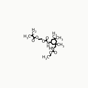 C=C(C)C(=O)OCCOC(=O)NC1CC(C)(C)CC(C)(CNC(=O)OCC)C1